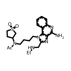 CCNCc1nc2c(N)nc3ccccc3c2n1CCCCN(C(C)=O)C1CCS(=O)(=O)C1